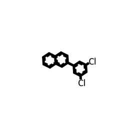 Clc1cc(Cl)cc(-c2ccc3ccccc3c2)c1